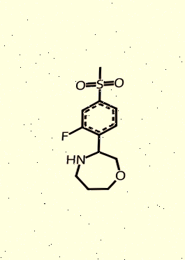 CS(=O)(=O)c1ccc(C2COCCCN2)c(F)c1